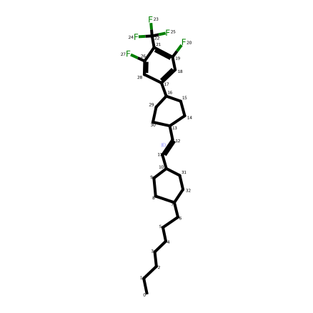 CCCCCCCC1CCC(/C=C/C2CCC(c3cc(F)c(C(F)(F)F)c(F)c3)CC2)CC1